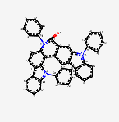 O=c1c2cc3c(cc2c2c(ccc4c5ccccc5n(-c5ccccc5)c42)n1-c1ccccc1)c1ccccc1n3-c1ccccc1